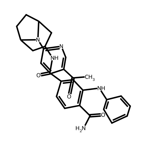 CC(=O)c1ccc(N2C3CCC2CC(NC(=O)c2ccc(C(N)=O)c(Nc4ccccc4)c2)C3)nc1